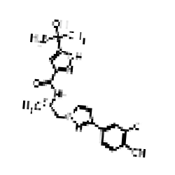 BC(C)(O)c1cc(C(=O)N[C@@H](C)Cn2ccc(-c3ccc(C#N)c(Cl)c3)n2)n[nH]1